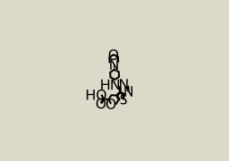 O=C(O)C1Cc2c(sc3ncnc(N[C@H]4CC[C@H](N5CCOCC5)CC4)c23)CO1